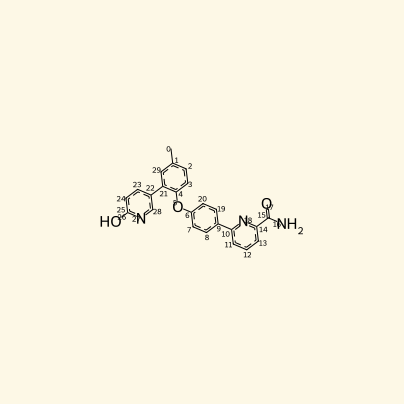 Cc1ccc(Oc2ccc(-c3cccc(C(N)=O)n3)cc2)c(-c2ccc(O)nc2)c1